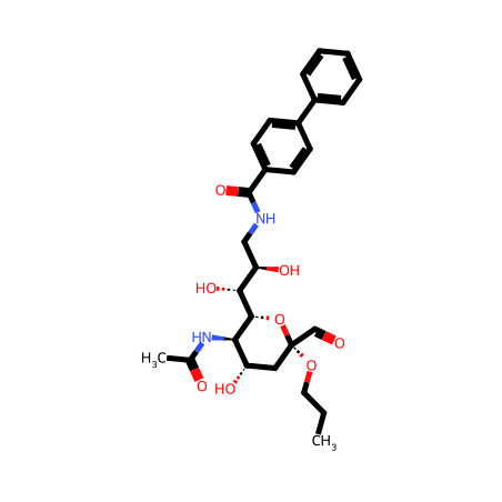 CCCO[C@]1(C=O)C[C@H](O)[C@@H](NC(C)=O)[C@H]([C@H](O)[C@H](O)CNC(=O)c2ccc(-c3ccccc3)cc2)O1